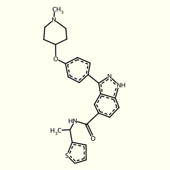 CC(NC(=O)c1ccc2[nH]nc(-c3ccc(OC4CCN(C)CC4)cc3)c2c1)c1cccs1